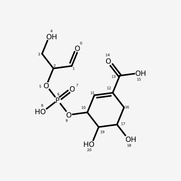 O=CC(CO)OP(=O)(O)OC1C=C(C(=O)O)CC(O)C1O